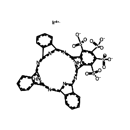 O=S(=O)([O-])c1c(S(=O)(=O)[O-])c(S(=O)(=O)[O-])c2c3nc4nc(nc5[nH]c(nc6nc(nc([nH]3)c2c1S(=O)(=O)[O-])-c1ccccc1-6)c1ccccc51)-c1ccccc1-4.[Ir+4]